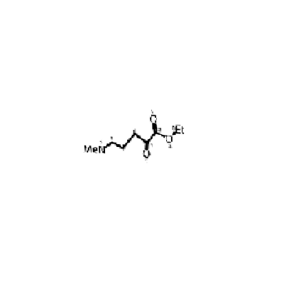 CCOC(=O)C(=O)CCCNC